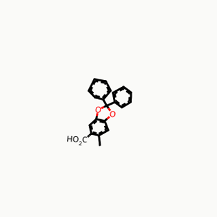 Cc1cc2c(cc1C(=O)O)OC(c1ccccc1)(c1ccccc1)O2